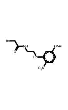 COc1ccc([N+](=O)[O-])c(NCCNC(=O)CBr)c1